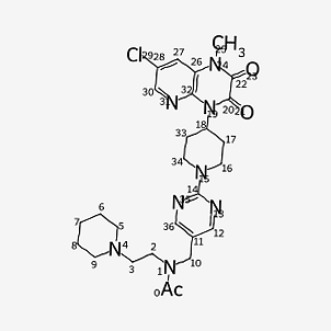 CC(=O)N(CCN1CCCCC1)Cc1cnc(N2CCC(n3c(=O)c(=O)n(C)c4cc(Cl)cnc43)CC2)nc1